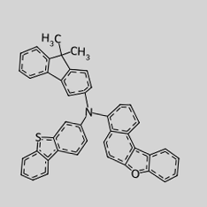 CC1(C)c2ccccc2-c2cc(N(c3ccc4c(c3)sc3ccccc34)c3cccc4c3ccc3oc5ccccc5c34)ccc21